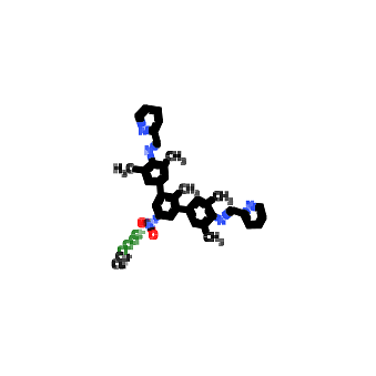 Cc1cc(-c2cc([N+](=O)[O-])cc(-c3cc(C)c(N=Cc4ccccn4)c(C)c3)c2C)cc(C)c1N=Cc1ccccn1.[Cl-].[Cl-].[Cl-].[Cl-].[Cu].[Cu]